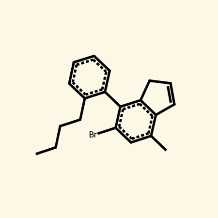 CCCCc1ccccc1-c1c(Br)cc(C)c2c1CC=C2